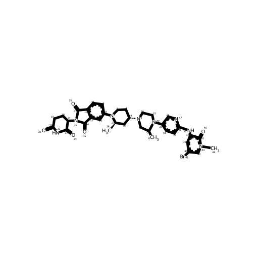 CC1CN([C@H]2CCN(c3ccc4c(c3)C(=O)N(C3CCC(=O)NC3=O)C4=O)[C@H](C)C2)CCN1c1ccc(Nc2cc(Br)cn(C)c2=O)nc1